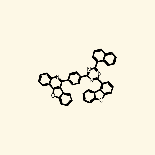 c1ccc2c(-c3nc(-c4ccc(-c5nc6ccccc6c6oc7ccccc7c56)cc4)nc(-c4cccc5oc6ccccc6c45)n3)cccc2c1